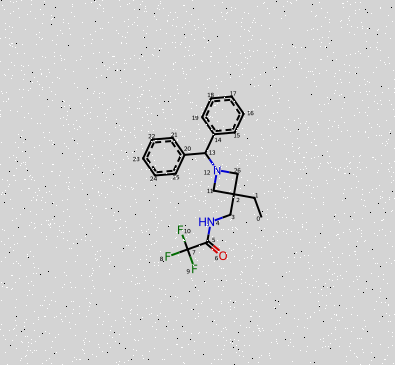 CCC1(CNC(=O)C(F)(F)F)CN(C(c2ccccc2)c2ccccc2)C1